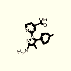 Cc1ccc(-c2c(C)c(N)nn2-c2cc(C(=O)O)ccn2)cc1